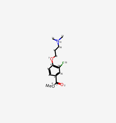 COC(=O)c1ccc(OCCCN(C)C)c(F)c1